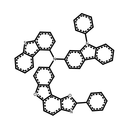 c1ccc(-c2nc3ccc4oc5ccc(N(c6ccc7c8ccccc8n(-c8ccccc8)c7c6)c6cccc7sc8ccccc8c67)cc5c4c3o2)cc1